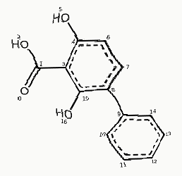 O=C(O)c1c(O)ccc(-c2ccccc2)c1O